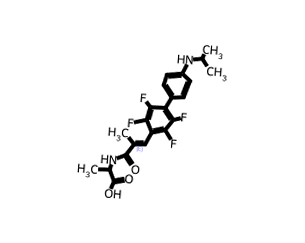 C/C(=C\c1c(F)c(F)c(-c2ccc(NC(C)C)cc2)c(F)c1F)C(=O)NC(C)C(=O)O